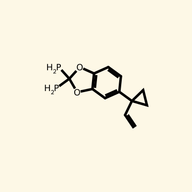 C=CC1(c2ccc3c(c2)OC(P)(P)O3)CC1